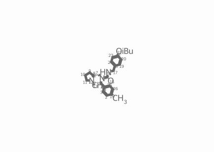 Cc1ccc(CN(C[C@H]2CCCN2C)C(=O)NCc2ccc(OCC(C)C)cc2)cc1